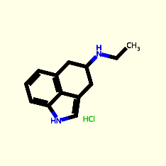 CCNC1Cc2cccc3[nH]cc(c23)C1.Cl